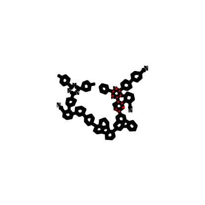 Cc1ccc(-c2nc(-c3ccc(C)cc3)nc(-c3ccc(-c4c(C#N)cccc4-c4cccc(-c5ccc(-c6ccc7c8c(cccc68)-c6c(-c8cc9c%10c(cc(-c%11ccc(-c%12ccccc%12-c%12cccc(C#N)c%12-c%12ccccc%12-c%12nc(-c%13ccccc%13)nc(-c%13ccc(-c%14ccc(C#N)cc%14)cc%13)n%12)cc%11)cc%10c8)-c8ccccc8-9)cccc6-7)cc5)c4)cc3)n2)cc1